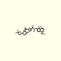 Cc1c(CNC(=O)c2cn(Cc3cnc(N4CCC(F)(F)C4)nc3)c(C3CC3)n2)ccc2c(N)nccc12